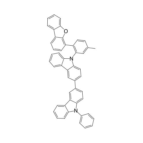 Cc1ccc(-c2cccc3c2oc2ccccc23)c(-n2c3ccccc3c3cc(-c4ccc5c(c4)c4ccccc4n5-c4ccccc4)ccc32)c1